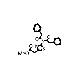 COC(=O)Cc1csc(N(C(=O)Cc2ccccc2)C(=O)Cc2ccccc2)n1